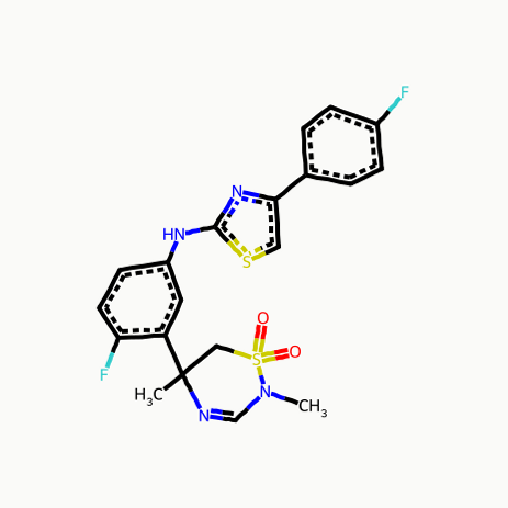 CN1C=NC(C)(c2cc(Nc3nc(-c4ccc(F)cc4)cs3)ccc2F)CS1(=O)=O